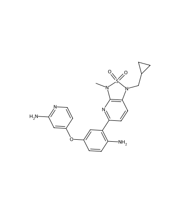 CN1c2nc(-c3cc(Oc4ccnc(N)c4)ccc3N)ccc2N(CC2CC2)S1(=O)=O